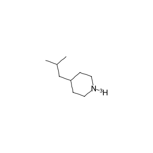 [3H]N1CCC(CC(C)C)CC1